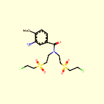 COc1ccc(C(=O)N(CCS(=O)(=O)CCCl)CCS(=O)(=O)CCCl)cc1N